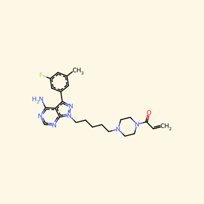 C=CC(=O)N1CCN(CCCCCn2nc(-c3cc(C)cc(F)c3)c3c(N)ncnc32)CC1